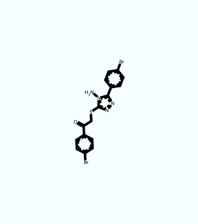 Nn1c(SCC(=O)c2ccc(Br)cc2)nnc1-c1ccc(Br)cc1